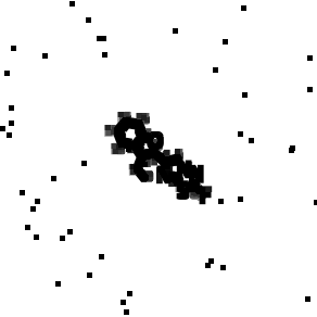 CCc1c(-c2cn3nc(F)sc3n2)oc2ccccc12